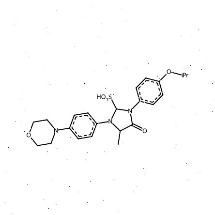 CC(C)Oc1ccc(N2C(=O)C(C)N(c3ccc(N4CCOCC4)cc3)C2S(=O)(=O)O)cc1